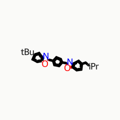 CC(C)Cc1ccc2oc(-c3ccc(-c4nc5cc(C(C)(C)C)ccc5o4)cc3)nc2c1